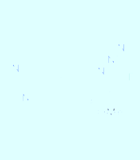 CO[C@H](c1ccc(-c2cnccn2)cc1)[C@@H](CF)N=[N+]=[N-]